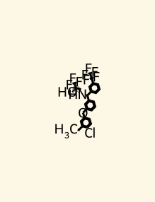 CCc1cc(Oc2cccc(C(NC[C@@H](O)C(F)(F)F)c3cccc(C(F)(F)C(F)(F)F)c3)c2)ccc1Cl